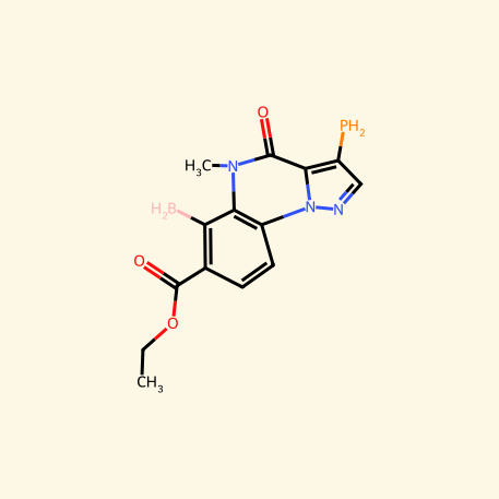 Bc1c(C(=O)OCC)ccc2c1n(C)c(=O)c1c(P)cnn12